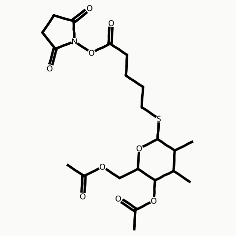 CC(=O)OCC1OC(SCCCCC(=O)ON2C(=O)CCC2=O)C(C)C(C)C1OC(C)=O